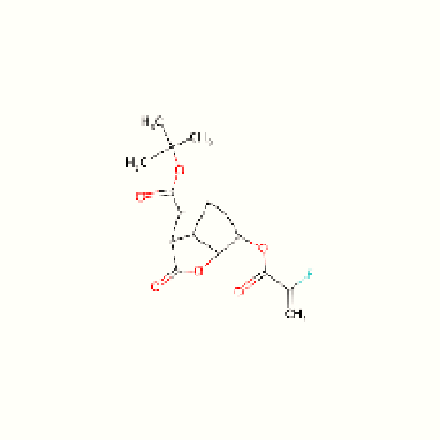 C=C(F)C(=O)OC1C2CC3C1OC(=O)C3C2C(=O)OC(C)(C)C